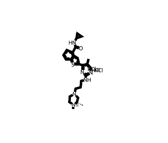 Cc1cnc(NCCCN2CCN(C)[C@@H](C)C2)nc1-c1cc2c(C(=O)NC3CC3)cccc2s1.Cl.Cl.Cl